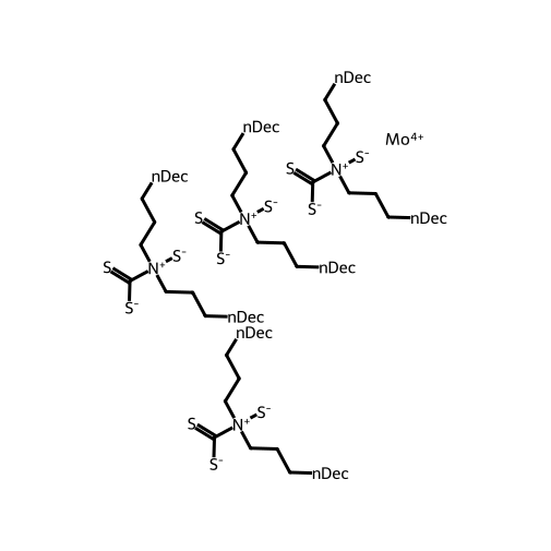 CCCCCCCCCCCCC[N+]([S-])(CCCCCCCCCCCCC)C(=S)[S-].CCCCCCCCCCCCC[N+]([S-])(CCCCCCCCCCCCC)C(=S)[S-].CCCCCCCCCCCCC[N+]([S-])(CCCCCCCCCCCCC)C(=S)[S-].CCCCCCCCCCCCC[N+]([S-])(CCCCCCCCCCCCC)C(=S)[S-].[Mo+4]